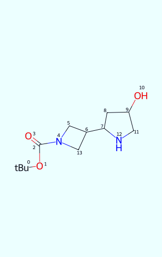 CC(C)(C)OC(=O)N1CC(C2CC(O)CN2)C1